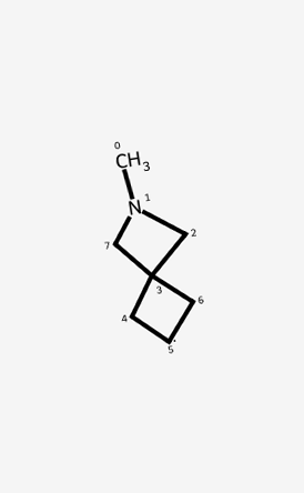 CN1CC2(C[CH]C2)C1